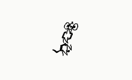 CCc1cc(N2CCN(S(C)(=O)=O)CC2)ncn1